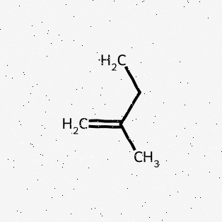 [CH2]CC(=C)C